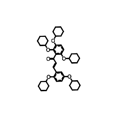 O=C(C=Cc1cc(OC2CCCCC2)ccc1OC1CCCCC1)c1c(OC2CCCCC2)ccc(OC2CCCCC2)c1OC1CCCCC1